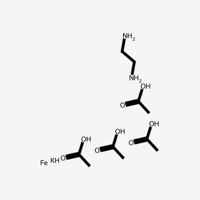 CC(=O)O.CC(=O)O.CC(=O)O.CC(=O)O.NCCN.[Fe].[KH]